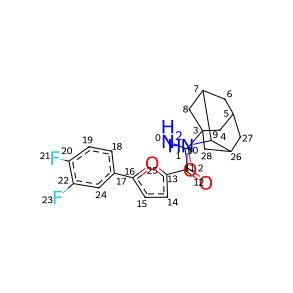 NC(=O)C12CC3CC(C1)C(NC(=O)c1ccc(-c4ccc(F)c(F)c4)o1)C(C3)C2